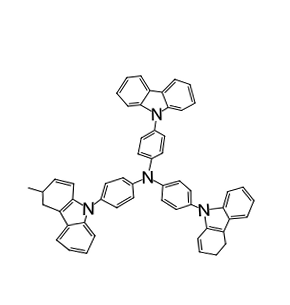 CC1C=Cc2c(c3ccccc3n2-c2ccc(N(c3ccc(-n4c5c(c6ccccc64)CCC=C5)cc3)c3ccc(-n4c5ccccc5c5ccccc54)cc3)cc2)C1